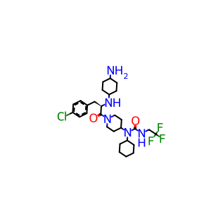 NC1CCC(N[C@H](Cc2ccc(Cl)cc2)C(=O)N2CCC(N(C(=O)NCC(F)(F)F)C3CCCCC3)CC2)CC1